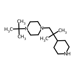 CC(C)(CN1CCN(C(C)(C)C)CC1)C1CCNCC1